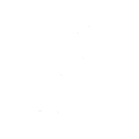 COc1cc(COc2ccc(Cc3cc(-c4cccnc4N)on3)cn2)c(F)cn1